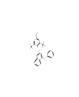 CCc1cc(C(C)(C)C)c(O)c(C(C)(C)C)c1.c1ccc(Nc2cccc3ccccc23)cc1